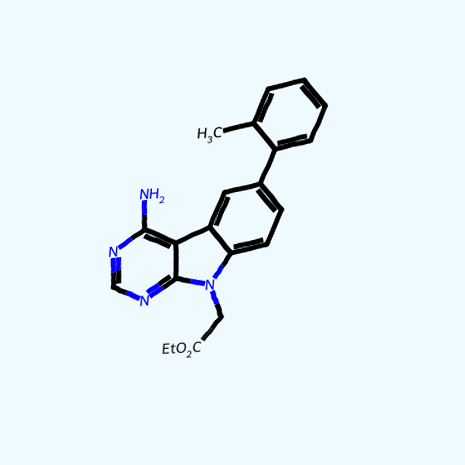 CCOC(=O)Cn1c2ccc(-c3ccccc3C)cc2c2c(N)ncnc21